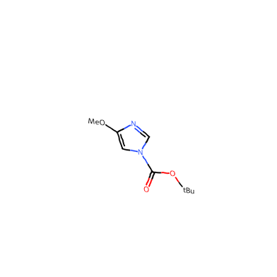 COc1cn(C(=O)OC(C)(C)C)cn1